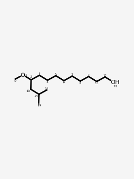 COC(CCCCCCCCCO)CC(C)C